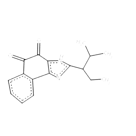 CCC(c1nc2c([nH]1)C(=O)C(=O)c1ccccc1-2)C(C)C